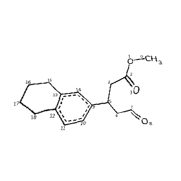 COC(=O)CC(CC=O)c1ccc2c(c1)CCCC2